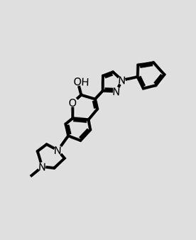 CN1CCN(c2ccc3c(c2)OC(O)C(c2ccn(-c4ccccc4)n2)=C3)CC1